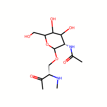 CN[C@@H](COC1OC(CO)C(O)C(O)[C@@H]1NC(C)=O)C(C)=O